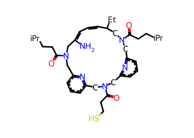 CCC1/C=C\C=C(/N)CN(C(=O)CCC(C)C)Cc2cccc(n2)CN(C(=O)CCS)Cc2cccc(n2)CN(C(=O)CCC(C)C)C1